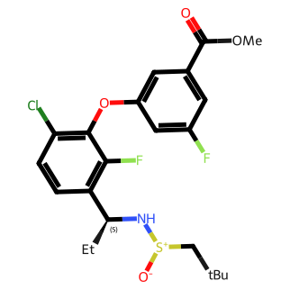 CC[C@H](N[S+]([O-])CC(C)(C)C)c1ccc(Cl)c(Oc2cc(F)cc(C(=O)OC)c2)c1F